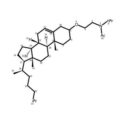 CCCN(CCOC1CC[C@@]2(C)C(=CC[C@H]3[C@@H]4CC[C@H]([C@H](C)CCCC(C)C)[C@@]4(C)CC[C@@H]32)C1)C(C)=O